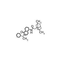 CC(c1ccccc1)n1ccc2c(NC(=O)CC34CC5CC(C)(CC(C)(C5)C3)C4)cccc2c1=O